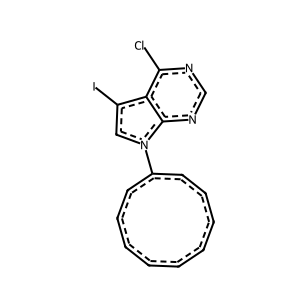 Clc1ncnc2c1c(I)cn2-c1ccccccccc1